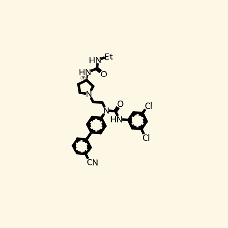 CCNC(=O)N[C@@H]1CCN(CCN(C(=O)Nc2cc(Cl)cc(Cl)c2)c2ccc(-c3cccc(C#N)c3)cc2)C1